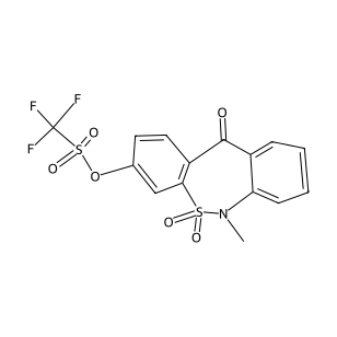 CN1c2ccccc2C(=O)c2ccc(OS(=O)(=O)C(F)(F)F)cc2S1(=O)=O